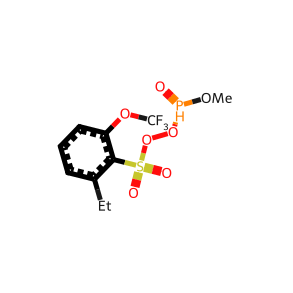 CCc1cccc(OC(F)(F)F)c1S(=O)(=O)OO[PH](=O)OC